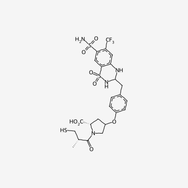 C[C@H](CS)C(=O)N1CC(Oc2ccc(CC3Nc4cc(C(F)(F)F)c(S(N)(=O)=O)cc4S(=O)(=O)N3)cc2)C[C@H]1C(=O)O